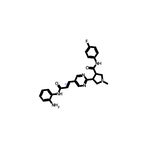 CN1CC(C(=O)Nc2ccc(F)cc2)C(c2ncc(/C=C/C(=O)Nc3ccccc3N)cn2)C1